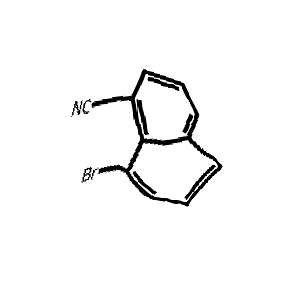 N#Cc1cccc2cccc(Br)c12